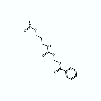 C[PH](=O)OCCCNC(=O)OCOC(=O)c1ccccc1